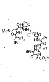 CC[C@H](C)[C@H](NC(=O)[C@@H](NC(=O)[C@@H](NC(=O)CNC(=O)CNC(=O)[C@@H](NC(=O)[C@H](CCSC)NC(=O)[C@@H](N)CC(C)C)C(C)C)C(C)C)C(C)C)C(=O)N[C@@H](C)C(=O)O